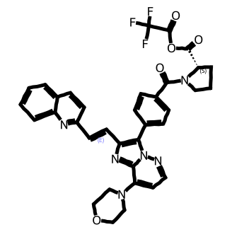 O=C(OC(=O)C(F)(F)F)[C@@H]1CCCN1C(=O)c1ccc(-c2c(/C=C/c3ccc4ccccc4n3)nc3c(N4CCOCC4)ccnn23)cc1